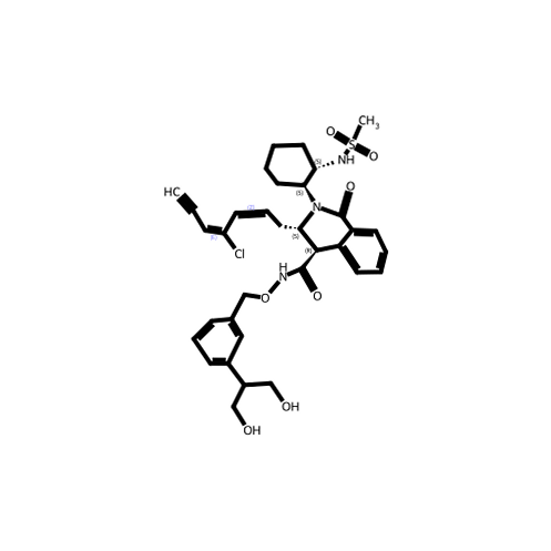 C#C/C=C(Cl)\C=C/C[C@H]1[C@H](C(=O)NOCc2cccc(C(CO)CO)c2)c2ccccc2C(=O)N1[C@H]1CCCC[C@@H]1NS(C)(=O)=O